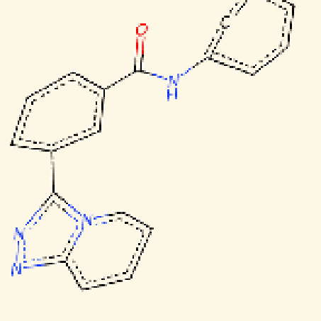 O=C(Nc1ccccc1)c1cccc(-c2nnc3ccccn23)c1